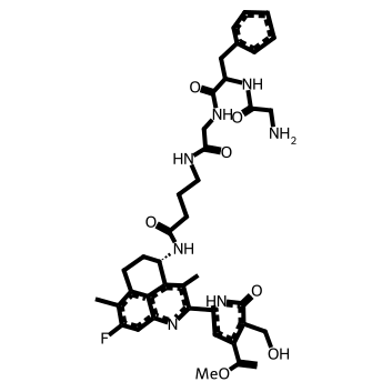 C=C(OC)c1cc(-c2nc3cc(F)c(C)c4c3c(c2C)[C@@H](NC(=O)CCCNC(=O)CNC(=O)C(Cc2ccccc2)NC(=O)CN)CC4)[nH]c(=O)c1CO